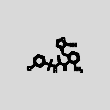 CC(C)(NC(=S)Nc1c(N)cccc1Cn1ccoc1=N)c1cccc(Cl)c1